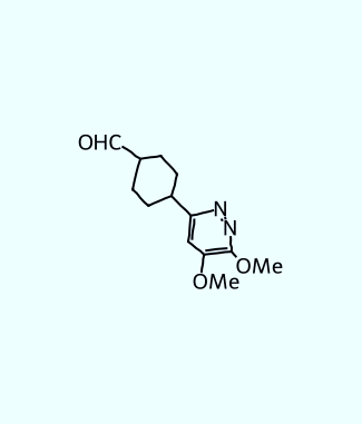 COc1cc(C2CCC(C=O)CC2)nnc1OC